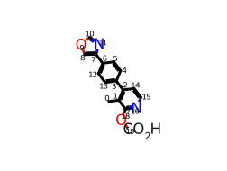 Cc1c(-c2ccc(-c3cocn3)cc2)ccnc1OC(=O)O